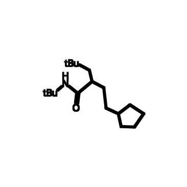 CC(C)(C)CC(CCC1CCCC1)C(=O)NC(C)(C)C